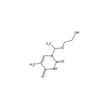 Cc1cn(C(OCCO)C(F)(F)F)c(=O)[nH]c1=O